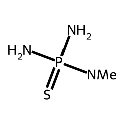 CNP(N)(N)=S